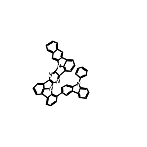 c1ccc(-n2c3ccccc3c3cc(-c4cccc5c6cccc7c8nc9c(nc8n(c45)c67)c4cccc5c6cc7ccccc7cc6n9c54)ccc32)cc1